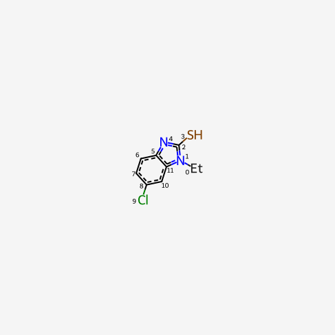 CCn1c(S)nc2ccc(Cl)cc21